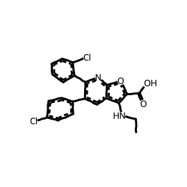 CCNc1c(C(=O)O)oc2nc(-c3ccccc3Cl)c(-c3ccc(Cl)cc3)cc12